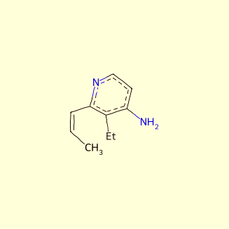 C/C=C\c1nccc(N)c1CC